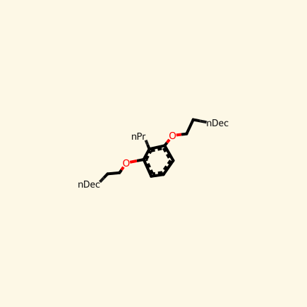 [CH2]CCc1c(OCCCCCCCCCCCC)cccc1OCCCCCCCCCCCC